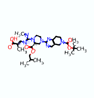 C=N/C(=N\C=C(/C)C(=O)O)N1CCN(c2ncc3c(n2)CCN(C(=O)OC(C)(C)C)C3)C[C@H]1C(=O)OCC(C)C